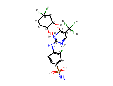 NS(=O)(=O)c1ccc(Nc2ncc(C(F)(F)F)c(OC3CC(F)(F)CCC3O)n2)c(F)c1